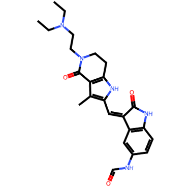 CCN(CC)CCN1CCc2[nH]c(C=C3C(=O)Nc4ccc(NC=O)cc43)c(C)c2C1=O